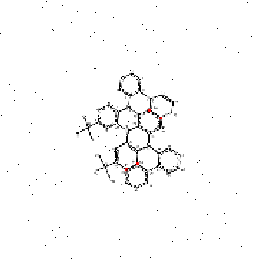 CC1C=C(c2ccccc2N2c3ccc(C(C)(C)C)cc3B3C4=C(CCC(C(C)(C)C)=C4)N(c4ccccc4-c4ccccc4)c4cccc2c43)C=CC1